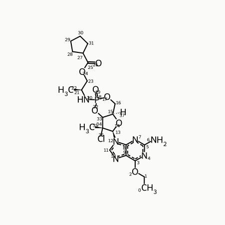 CCOc1nc(N)nc2c1ncn2[C@@H]1O[C@@H]2COP(=O)(N[C@@H](C)COC(=O)C3CCCC3)OC2[C@@]1(C)Cl